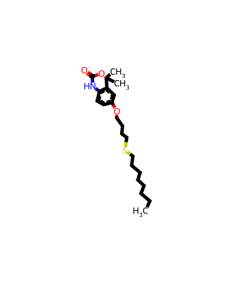 CCCCCCCCSCCCCOc1ccc2c(c1)C(C)(C)OC(=O)N2